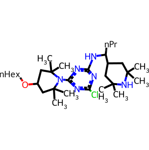 CCCCCCOC1CC(C)(C)N(c2nc(Cl)nc(NC(CCC)C3CC(C)(C)NC(C)(C)C3)n2)C(C)(C)C1